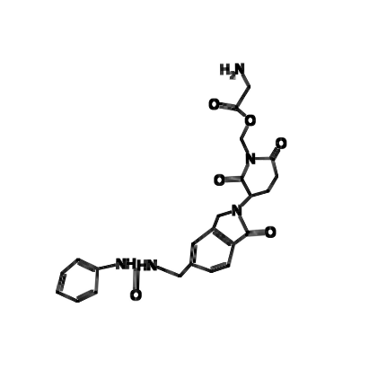 NCC(=O)OCN1C(=O)CCC(N2Cc3cc(CNC(=O)Nc4ccccc4)ccc3C2=O)C1=O